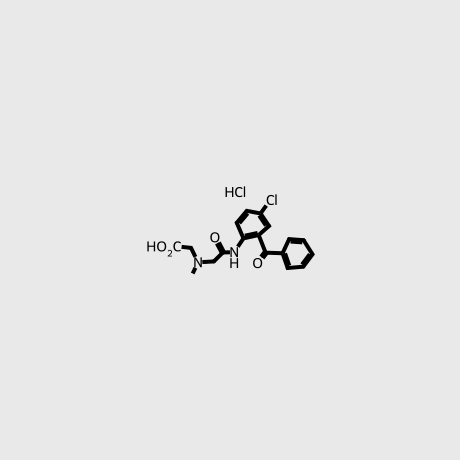 CN(CC(=O)O)CC(=O)Nc1ccc(Cl)cc1C(=O)c1ccccc1.Cl